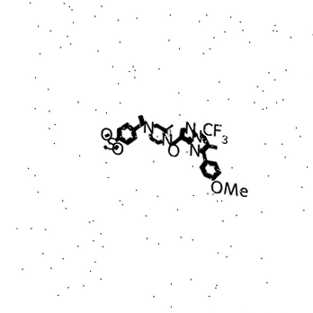 C=C(c1ccc(S(C)(=O)=O)cc1)N1CCN(C(=O)c2cnn3c(C(F)(F)F)c(C)c(-c4ccc(OC)cc4)nc23)[C@H](C)C1